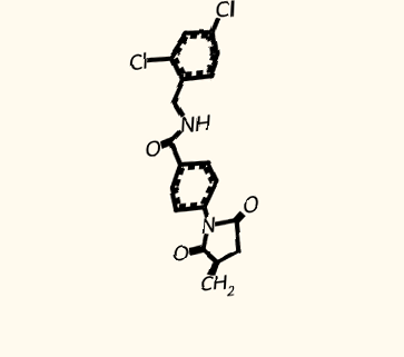 C=C1CC(=O)N(c2ccc(C(=O)NCc3ccc(Cl)cc3Cl)cc2)C1=O